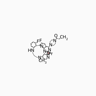 C=CC(=O)N1CCN(c2nc(=O)n3c4nc(c(F)cc24)-c2c(F)cccc2NCCCN(C)c2ccnc(C(C)C)c2-3)CC1